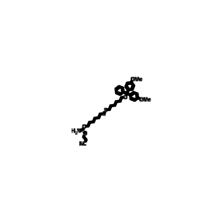 COc1ccc(C(OCCCCCCSSCCCCCCOP(N)OCCC#N)(c2ccccc2)c2ccc(OC)cc2)cc1